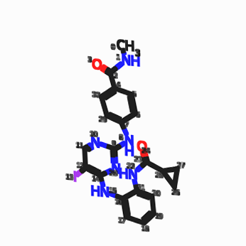 CNC(=O)c1ccc(Nc2ncc(I)c(Nc3ccccc3NC(=O)C3CC3)n2)cc1